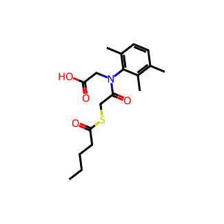 CCCCC(=O)SCC(=O)N(CC(=O)O)c1c(C)ccc(C)c1C